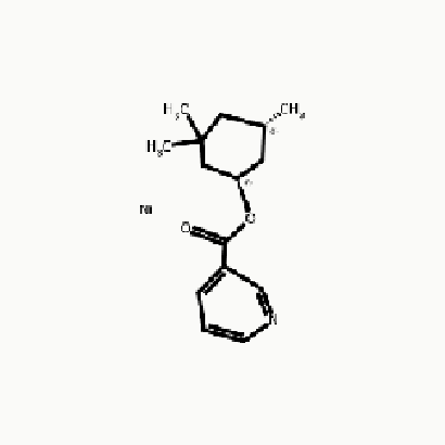 C[C@@H]1C[C@@H](OC(=O)c2cccnc2)CC(C)(C)C1.[Ni]